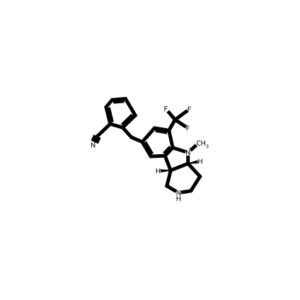 CN1c2c(cc(Cc3ccccc3C#N)cc2C(F)(F)F)[C@H]2CNCC[C@H]21